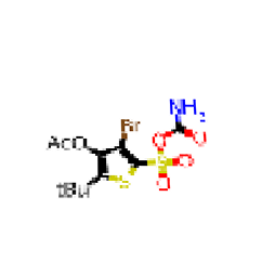 CC(=O)Oc1c(C(C)(C)C)sc(S(=O)(=O)OC(N)=O)c1Br